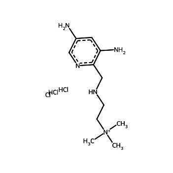 C[N+](C)(C)CCNCc1ncc(N)cc1N.Cl.Cl.[Cl-]